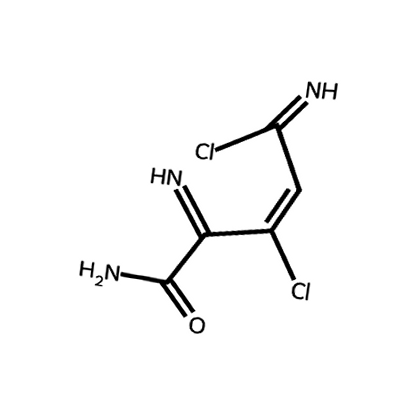 N=C(Cl)/C=C(/Cl)C(=N)C(N)=O